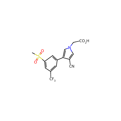 CS(=O)(=O)c1cc(-c2cn(CC(=O)O)cc2C#N)cc(C(F)(F)F)c1